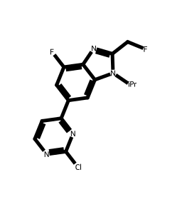 CC(C)n1c(CF)nc2c(F)cc(-c3ccnc(Cl)n3)cc21